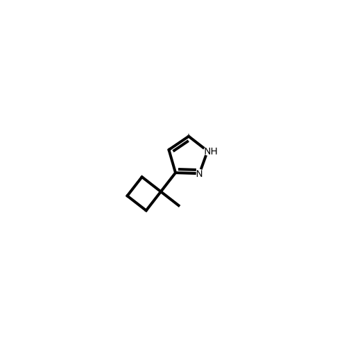 CC1(c2c[c][nH]n2)CCC1